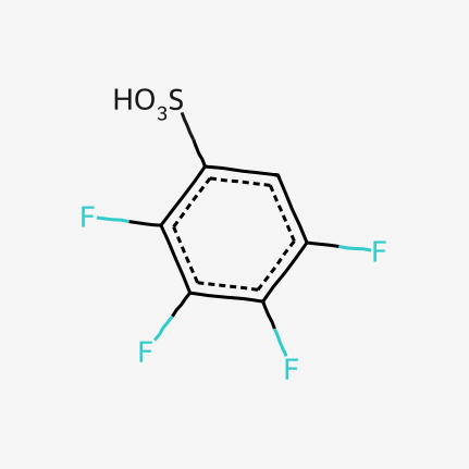 O=S(=O)(O)c1cc(F)c(F)c(F)c1F